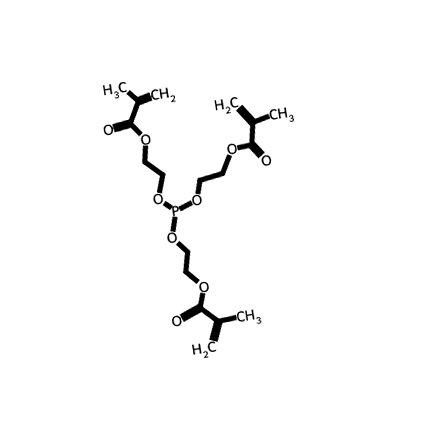 C=C(C)C(=O)OCCOP(OCCOC(=O)C(=C)C)OCCOC(=O)C(=C)C